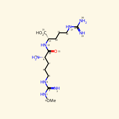 CONC(=N)NCCC[C@H](N)C(=O)N[C@@H](CCCNC(=N)N)C(=O)O